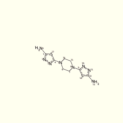 Nc1nnc(N2CCN(c3nnc(N)s3)CC2)s1